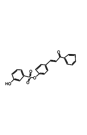 O=C(C=Cc1ccc(OS(=O)(=O)c2cccc(O)c2)cc1)c1ccccc1